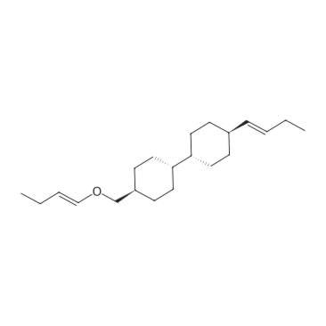 CCC=COC[C@H]1CC[C@H]([C@H]2CC[C@H](C=CCC)CC2)CC1